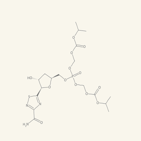 CC(C)OC(=O)OCOP(=O)(OCOC(=O)OC(C)C)OC[C@@H]1C[C@@H](O)[C@H](c2nc(C(N)=O)ns2)O1